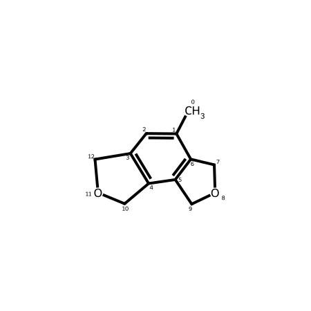 Cc1cc2c(c3c1COC3)COC2